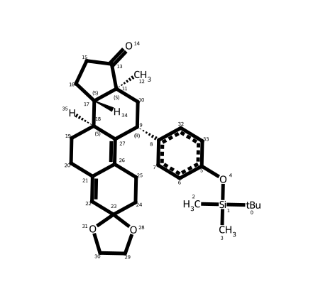 CC(C)(C)[Si](C)(C)Oc1ccc([C@H]2C[C@]3(C)C(=O)CC[C@H]3[C@@H]3CCC4=CC5(CCC4=C32)OCCO5)cc1